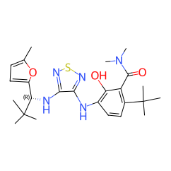 Cc1ccc([C@H](Nc2nsnc2Nc2ccc(C(C)(C)C)c(C(=O)N(C)C)c2O)C(C)(C)C)o1